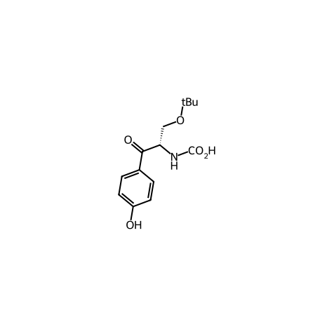 CC(C)(C)OC[C@H](NC(=O)O)C(=O)c1ccc(O)cc1